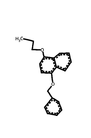 CCCOc1ccc(OCc2ccccc2)c2ccccc12